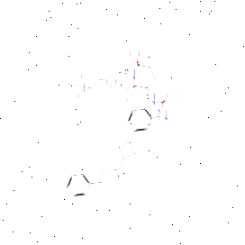 Cn1c(=O)n([C@H]2CCC(=O)N(COCC[Si](C)(C)C)C2=O)c2ccc(C3CC(COCc4ccccc4)C3)cc21